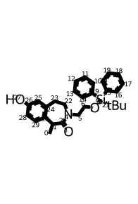 CC1C(=O)N(CCO[Si](c2ccccc2)(c2ccccc2)C(C)(C)C)CCc2cc(O)ccc21